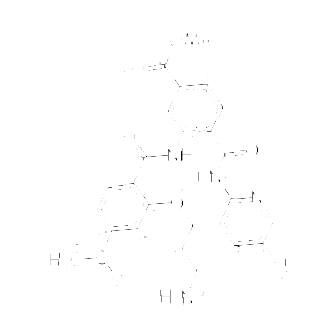 COC(=O)c1ccc(C(=O)Nc2ccc(Cl)cn2)c(NC(=O)c2ccc([S+](C)[O-])cc2OCCCN)c1